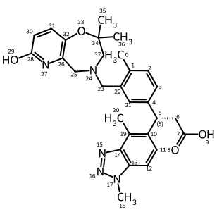 Cc1ccc([C@H](CC(=O)O)c2ccc3c(nnn3C)c2C)cc1CN1Cc2nc(O)ccc2OC(C)(C)C1